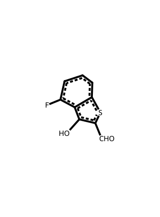 O=Cc1sc2cccc(F)c2c1O